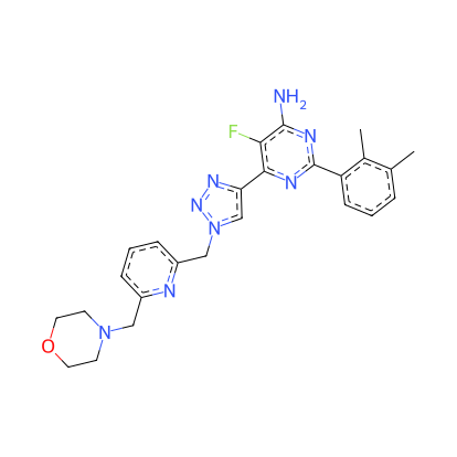 Cc1cccc(-c2nc(N)c(F)c(-c3cn(Cc4cccc(CN5CCOCC5)n4)nn3)n2)c1C